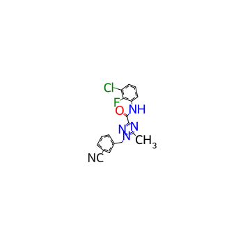 Cc1nc(C(=O)Nc2cccc(Cl)c2F)nn1Cc1cccc(C#N)c1